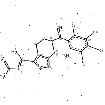 C=C(C)/N=C(\C)c1nnc2n1CCN(C(=C)c1cc(F)c(C)c(F)c1C)[C@@H]2C